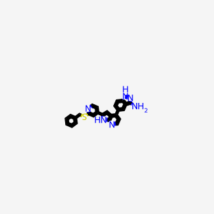 Nc1n[nH]c2ccc(-c3ccnc4[nH]c(-c5ccnc(SCc6ccccc6)c5)cc34)cc12